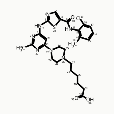 Cc1nc(Nc2ncc(C(=O)Nc3c(C)cccc3Cl)s2)cc(N2CCN(CCCCCC(=O)O)CC2)n1